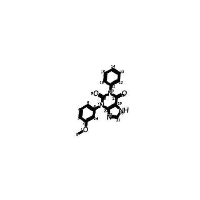 COc1cccc(-n2c(=O)n(-c3ccccc3)c(=O)c3[nH]cnc32)c1